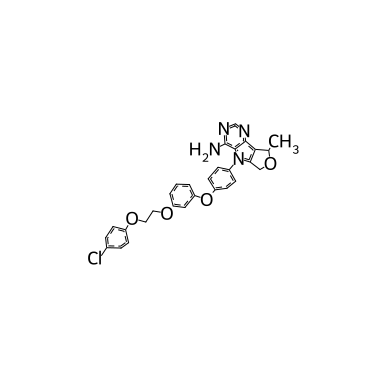 CC1OCc2c1c1ncnc(N)c1n2-c1ccc(Oc2cccc(OCCOc3ccc(Cl)cc3)c2)cc1